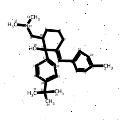 Cc1ccc(/C=C2\CCCC(CN(C)C)C2(O)c2ccc(C(C)(C)C)cc2)cc1